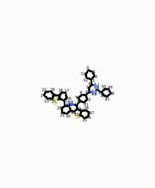 c1ccc(-c2cc(-c3ccc(-c4nc5c(-c6cccc7c6sc6ccccc67)cccc5c5sc6ccccc6c45)cc3)nc(-c3ccccc3)n2)cc1